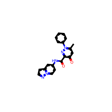 Cc1cc(=O)c(C(=O)Nc2ccn3nccc3c2)nn1-c1ccccc1